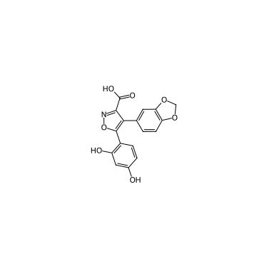 O=C(O)c1noc(-c2ccc(O)cc2O)c1-c1ccc2c(c1)OCO2